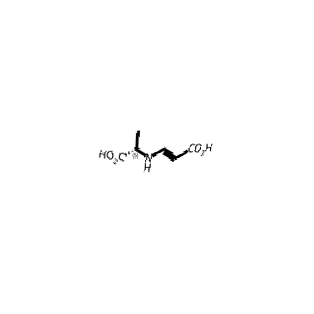 C[C@H](NC=CC(=O)O)C(=O)O